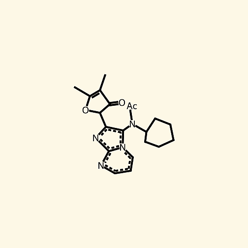 CC(=O)N(c1c(C2OC(C)=C(C)C2=O)nc2ncccn12)C1CCCCC1